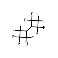 FC1(F)C(C2C(F)(F)C(F)(F)C2(F)Cl)C(F)(F)C1(F)F